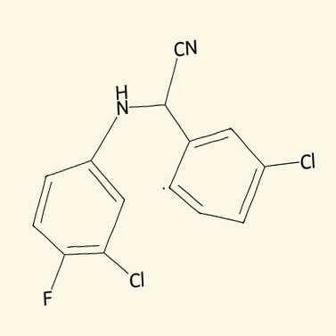 N#CC(Nc1ccc(F)c(Cl)c1)c1[c]ccc(Cl)c1